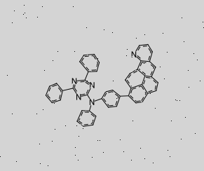 c1ccc(-c2nc(-c3ccccc3)nc(N(c3ccccc3)c3ccc(-c4ccc5ccc6cc7cccnc7c7ccc4c5c67)cc3)n2)cc1